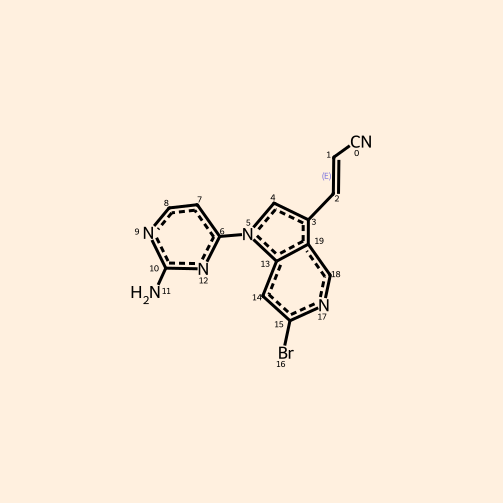 N#C/C=C/c1cn(-c2ccnc(N)n2)c2cc(Br)ncc12